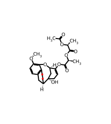 COc1ccc2c3c1O[C@@H]1C[C@@](O)(CC=C1OC(=O)[C@H](C)OC(=O)[C@H](C)OC(C)=O)[C@H](CCCC3)C2